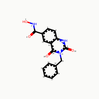 O=C(NO)c1ccc2[nH]c(=O)n(Cc3ccccc3)c(=O)c2c1